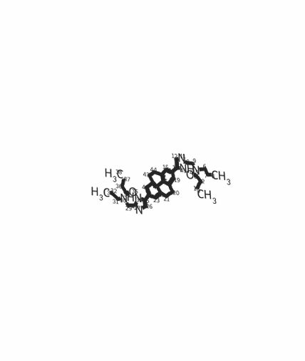 CCCC(=O)N(CCC)Cc1ncc(-c2cc3c4c(c2)CCc2cc(-c5cnc(CN(CCC)C(=O)CCC)[nH]5)cc(c2-4)CC3)[nH]1